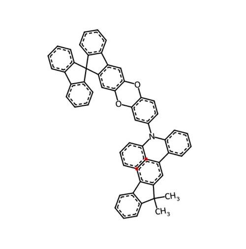 CC1(C)c2ccccc2-c2ccc(-c3ccccc3N(c3ccccc3)c3ccc4c(c3)Oc3cc5c(cc3O4)-c3ccccc3C53c4ccccc4-c4ccccc43)cc21